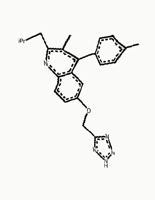 Cc1ccc(-c2c(C)c(CC(C)C)nc3ccc(OCc4nn[nH]n4)cc23)cc1